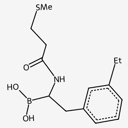 CCc1cccc(CC(NC(=O)CCSC)B(O)O)c1